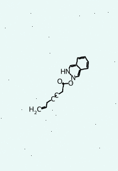 C=CCCCCC(=O)ON1C=c2ccccc2=CN1